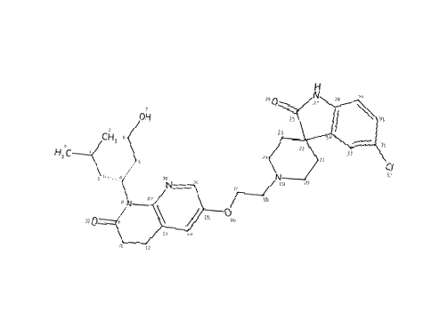 CC(C)C[C@H](CCO)N1C(=O)CCc2cc(OCCN3CCC4(CC3)C(=O)Nc3ccc(Cl)cc34)cnc21